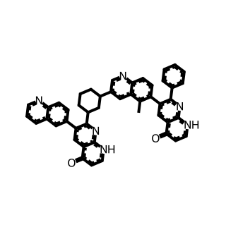 Cc1c(-c2cc3c(=O)cc[nH]c3nc2-c2ccccc2)ccc2ncc(C3CCCC(c4nc5[nH]ccc(=O)c5cc4-c4ccc5ncccc5c4)C3)cc12